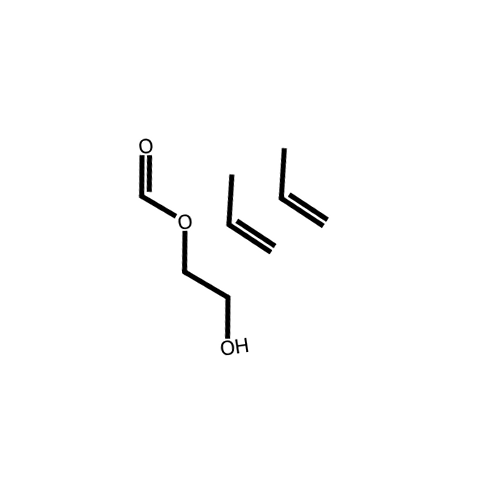 C=CC.C=CC.O=COCCO